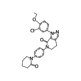 CCOc1ccc(-n2ncc3c2C(=O)N(c2ccc(N4CCCCC4=O)cc2)CC3)cc1Cl